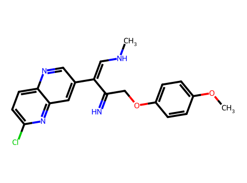 CN/C=C(\C(=N)COc1ccc(OC)cc1)c1cnc2ccc(Cl)nc2c1